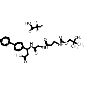 CC(C)(C)COC(=O)NCCC(=O)NCC(=O)NC(CC(=O)O)c1ccc(-c2ccccc2)cc1.O=C(O)C(F)(F)F